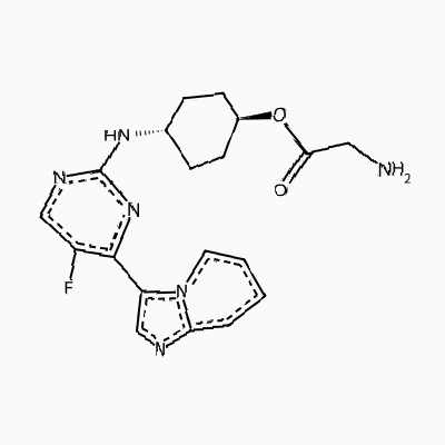 NCC(=O)O[C@H]1CC[C@H](Nc2ncc(F)c(-c3cnc4ccccn34)n2)CC1